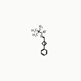 CC(C)(C)[S+]([O-])/N=C/C12CC(c3ccccc3)(C1)C2